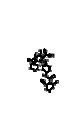 CC1=C(N[C@](Cc2ccc(NC(=O)c3c(Cl)cncc3Cl)cc2)(C(=O)O)C(C)C)C2(CCOCC2)C1=O